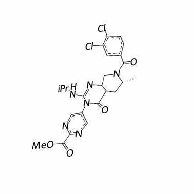 COC(=O)c1ncc(N2C(=O)C3C[C@@H](C)N(C(=O)c4ccc(Cl)c(Cl)c4)CC3N=C2NC(C)C)cn1